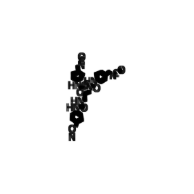 N#COCc1ccc(NC(=O)NCC(CNC(=O)Nc2ccc(CN=C=O)cc2)OC(=O)Nc2ccc(CN=C=O)cc2)cc1